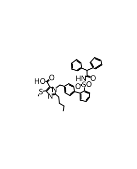 CCCCc1nc(SC)c(C(=O)O)n1Cc1ccc(-c2ccccc2S(=O)(=O)NC(=O)C(c2ccccc2)c2ccccc2)cc1